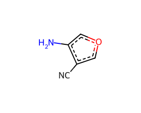 N#Cc1cocc1N